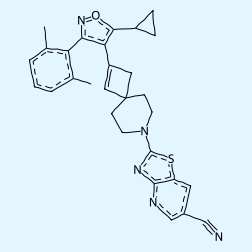 Cc1cccc(C)c1-c1noc(C2CC2)c1C1=CC2(CCN(c3nc4ncc(C#N)cc4s3)CC2)C1